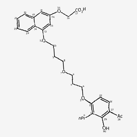 CCCc1c(OCCCOCCCOc2cc(OCC(=O)O)cc3ccccc23)ccc(C(C)=O)c1O